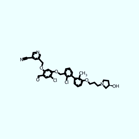 Cc1c(OCCCN2CC[C@@H](O)C2)cccc1-c1cccc(COc2cc(OCc3cncc(C#N)c3)c(C=O)cc2Cl)c1Cl